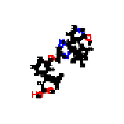 COc1cc(-c2ncc(COc3cccc([C@@H](CC(=O)O)C4CC4)c3)nc2C2=CCCC2(C)C)ccn1